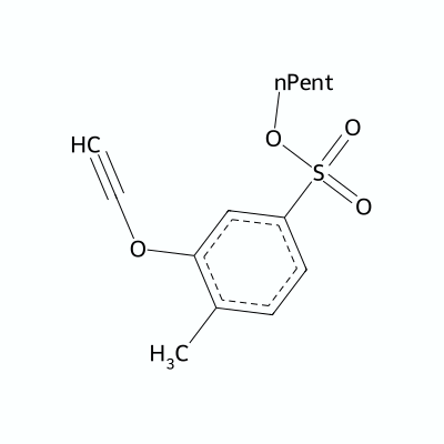 C#COc1cc(S(=O)(=O)OCCCCC)ccc1C